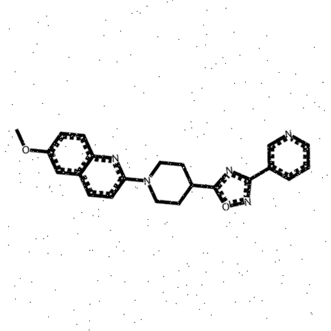 COc1ccc2nc(N3CCC(c4nc(-c5cccnc5)no4)CC3)ccc2c1